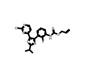 C=CCOC(=O)Nc1cccc(-c2nc(C(C)C)sc2-c2ccnc(Cl)n2)c1F